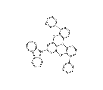 c1cncc(-c2cccc3c2Oc2cc(-n4c5ccccc5c5ccccc54)cc4c2B3c2cccc(-c3cccnc3)c2O4)c1